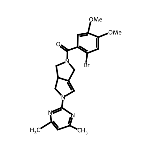 COc1cc(Br)c(C(=O)N2CC3=CN(c4nc(C)cc(C)n4)CC3C2)cc1OC